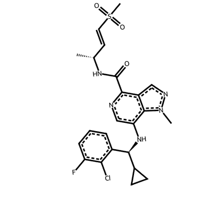 C[C@H](/C=C/S(C)(=O)=O)NC(=O)c1ncc(N[C@H](c2cccc(F)c2Cl)C2CC2)c2c1cnn2C